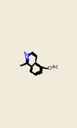 CC(=O)Oc1cccc2c(C)nccc12